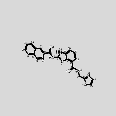 O=C(Nc1nc2c(C(=O)NCc3nccs3)cccc2[nH]1)c1cc2ccccc2cn1